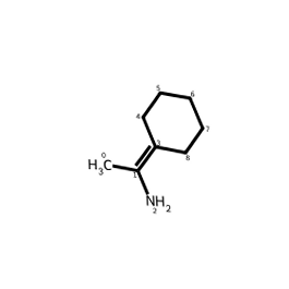 CC(N)=C1CCCCC1